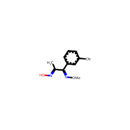 CO/N=C(/C(C)=N/O)c1cccc(C#N)c1